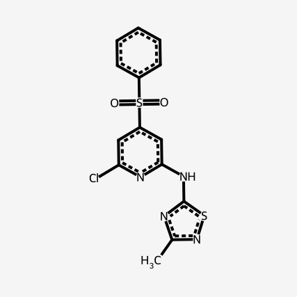 Cc1nsc(Nc2cc(S(=O)(=O)c3ccccc3)cc(Cl)n2)n1